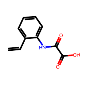 C=Cc1ccccc1NC(=O)C(=O)O